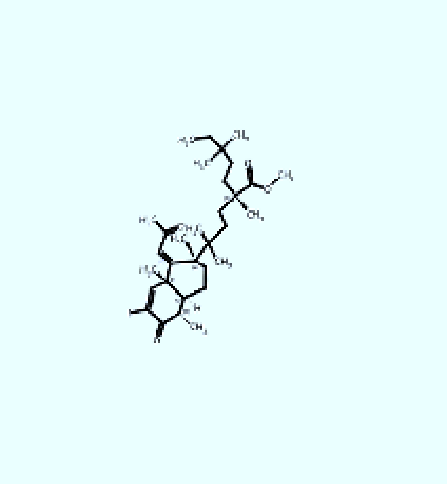 CCC(C)(C)CC[C@@](C)(CCC(C)(C)[C@]1(C)CC[C@H]2[C@H](C)C(=O)C(I)=C[C@]2(C)/C1=C/C(C)=O)C(=O)OC